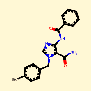 CC(C)(C)c1ccc(Cn2cnc(NC(=O)c3ccccc3)c2C(N)=O)cc1